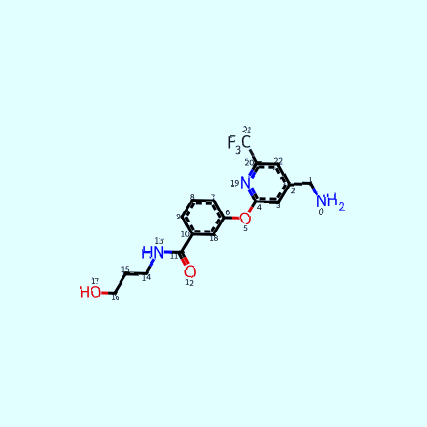 NCc1cc(Oc2cccc(C(=O)NCCCO)c2)nc(C(F)(F)F)c1